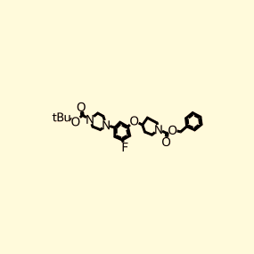 CC(C)(C)OC(=O)N1CCN(c2cc(F)cc(OC3CCN(C(=O)OCc4ccccc4)CC3)c2)CC1